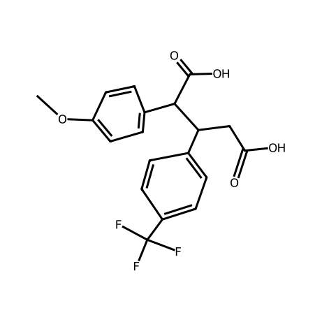 COc1ccc(C(C(=O)O)C(CC(=O)O)c2ccc(C(F)(F)F)cc2)cc1